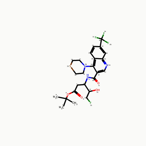 CC(C)(C)OC(=O)CC(NC(=O)c1cnc2cc(C(F)(F)F)ccc2c1N1CCSCC1)C(O)CF